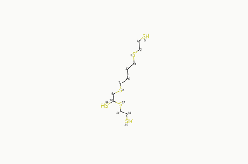 SCCSCCCCSCC(S)SCCS